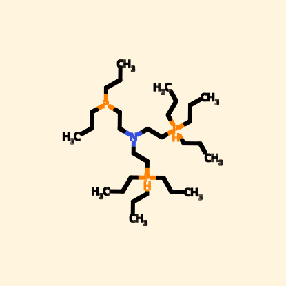 CCCP(CCC)CCN(CC[PH](CCC)(CCC)CCC)CC[PH](CCC)(CCC)CCC